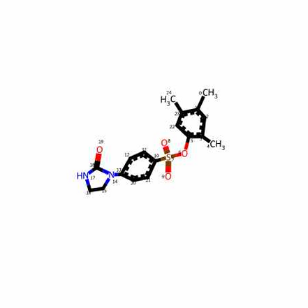 Cc1cc(C)c(OS(=O)(=O)c2ccc(N3CCNC3=O)cc2)cc1C